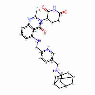 Cc1nc2cccc(NCc3ccc(CNC45CC6CC(CC(C6)C4)C5)cn3)c2c(=O)n1C1CCC(=O)NC1=O